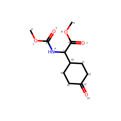 COC(=O)NC(C(=O)OC)C1CCC(=O)CC1